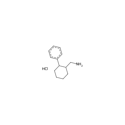 Cl.NCC1CCCCC1c1ccccc1